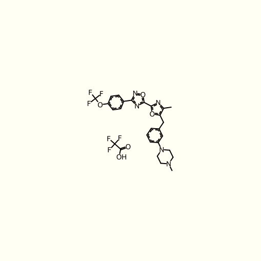 Cc1nc(-c2nc(-c3ccc(OC(F)(F)F)cc3)no2)oc1Cc1cccc(N2CCN(C)CC2)c1.O=C(O)C(F)(F)F